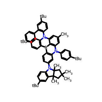 Cc1cc2c3c(c1)N(c1ccc(C(C)(C)C)cc1-c1ccccc1)c1cc(C(C)(C)C)ccc1B3c1ccc(N3c4ccc(C(C)(C)C)cc4C4(C)CC(C)(C)CC34C)cc1N2c1ccc(C(C)(C)C)cc1